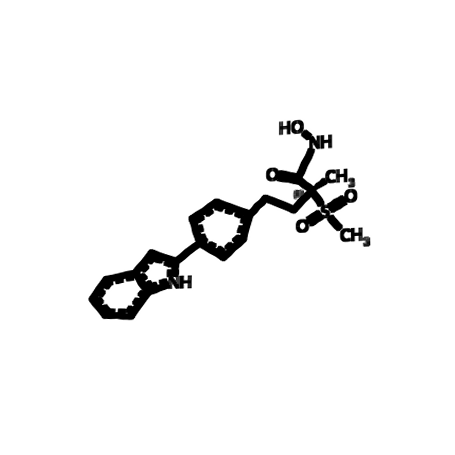 C[C@@](CCc1ccc(-c2cc3ccccc3[nH]2)cc1)(C(=O)NO)S(C)(=O)=O